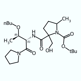 CCCCO[C@H](C)[C@H](NC(=O)C1(CO)CCC(C)N1C(=O)OC(C)(C)C)C(=O)N1CCCC1